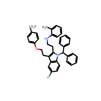 Cc1ccccc1NCCc1c(CCOc2ccc(C(=O)O)cc2)c2cc(Cl)ccc2n1C(c1ccccc1)c1ccccc1